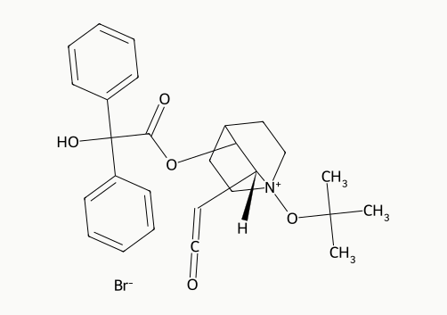 CC(C)(C)O[N+]12CCC(CC1)C(OC(=O)C(O)(c1ccccc1)c1ccccc1)[C@H]2C=C=O.[Br-]